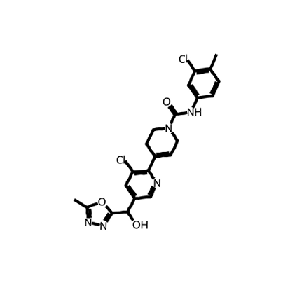 Cc1nnc(C(O)c2cnc(C3=CCN(C(=O)Nc4ccc(C)c(Cl)c4)CC3)c(Cl)c2)o1